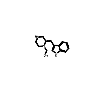 OCN1CCNCC1Cc1c[nH]c2ccccc12